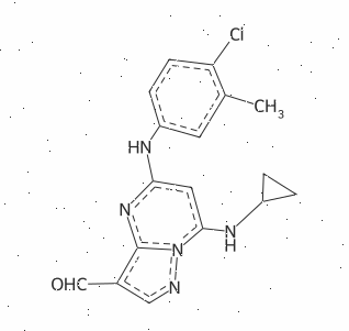 Cc1cc(Nc2cc(NC3CC3)n3ncc(C=O)c3n2)ccc1Cl